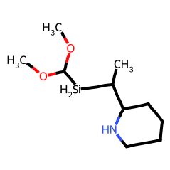 COC(OC)[SiH2]C(C)C1CCCCN1